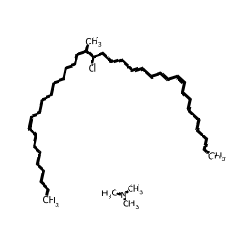 CCCCCCCC/C=C\CCCCCCCCC(C)C(Cl)CCCCCCCC/C=C\CCCCCCCC.CN(C)C